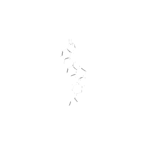 C=CC(=O)N1CCN(c2ncnc3c(Oc4c(C)ccc5[nH]ncc45)cccc23)CC1